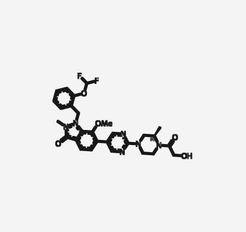 COc1c(-c2cnc(N3CCN(C(=O)CO)[C@H](C)C3)nc2)ccc2c(=O)n(C)n(Cc3ccccc3OC(F)F)c12